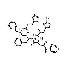 CC(C)c1nc(CN(C)C(=O)NC(CC(=O)Nc2ccncc2)C(=O)NC(CCC(Cc2ccccc2)NC(=O)OCc2cncs2)Cc2ccccc2)cs1